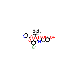 CC(C)C(=O)Oc1c(C=NC(Cc2ccc(O)cc2)C(=O)O)cc(Br)cc1OC(=O)c1cccnc1